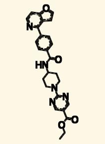 CCOC(=O)c1cnc(N2CCC(NC(=O)c3ccc(-c4nccc5occc45)cc3)CC2)nc1